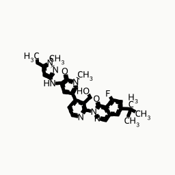 CCc1cc(Nc2cc(-c3ccnc(-n4ncc5cc(C(C)(C)C)cc(F)c5c4=O)c3CO)cn(C)c2=O)nn1C